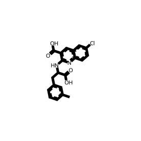 Cc1cccc(CC(Nc2nc3ccc(Cl)cc3cc2C(=O)O)C(=O)O)c1